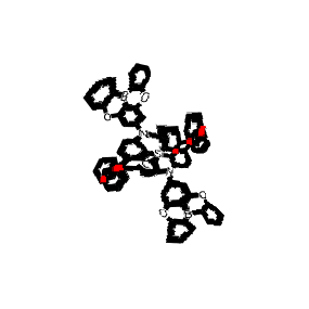 c1ccc(-c2ccc3c(c2)[Si]2(c4cc(-c5ccccc5)ccc4N3c3cc4c5c(c3)Oc3ccccc3B5c3ccccc3O4)c3cc(-c4ccccc4)ccc3N(c3cc4c5c(c3)Oc3ccccc3B5c3ccccc3O4)c3ccc(-c4ccccc4)cc32)cc1